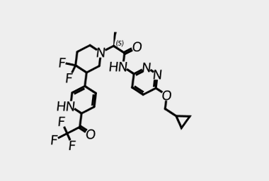 C[C@@H](C(=O)Nc1ccc(OCC2CC2)nn1)N1CCC(F)(F)C(C2=CNC(C(=O)C(F)(F)F)C=C2)C1